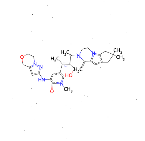 C=C(/C(CO)=C(\C)c1cc(Nc2cc3n(n2)CCOC3)c(=O)n(C)c1)N1CCn2c(cc3c2CC(C)(C)C3)C1=C